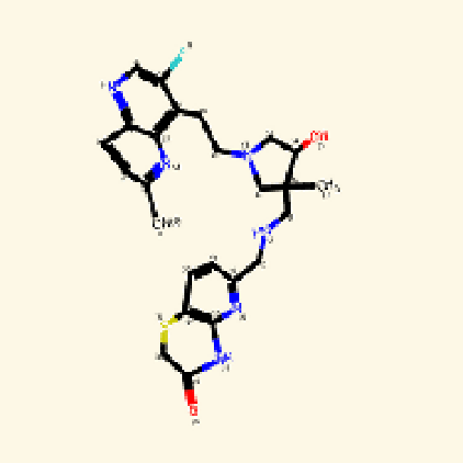 COc1ccc2ncc(F)c(CCN3CC(O)C(C)(CNCc4ccc5c(n4)NC(=O)CS5)C3)c2n1